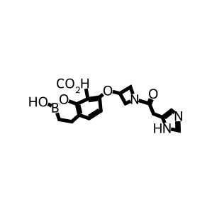 O=C(O)c1c(OC2CN(C(=O)Cc3cnc[nH]3)C2)ccc2c1OB(O)CC2